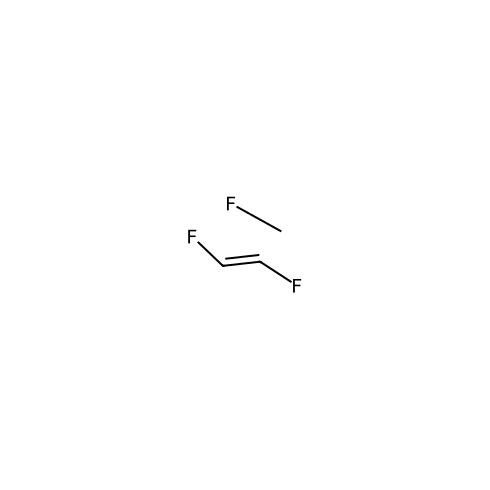 CF.FC=CF